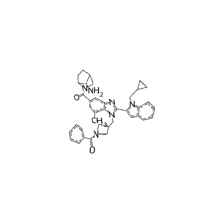 Cc1cc(C(=O)N2CC3CCC2C3N)cc2nc(-c3cc4ccccc4n3CC3CC3)n(CC3CN(C(=O)c4ccccc4)C3)c12